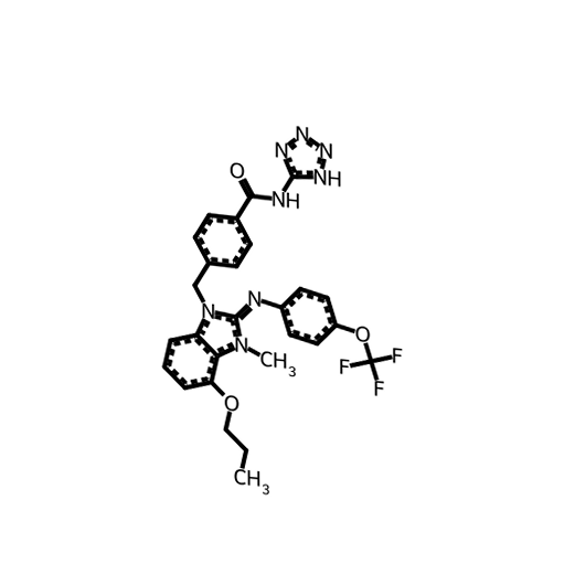 CCCOc1cccc2c1n(C)c(=Nc1ccc(OC(F)(F)F)cc1)n2Cc1ccc(C(=O)Nc2nnn[nH]2)cc1